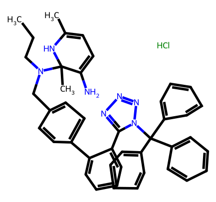 CCCN(Cc1ccc(-c2ccccc2-c2nnnn2C(c2ccccc2)(c2ccccc2)c2ccccc2)cc1)C1(C)NC(C)=CC=C1N.Cl